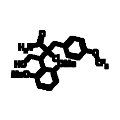 COc1cccc(OC)c1C(CO)C(Cl)(Cc1ccc(OC(F)(F)F)cc1)C(N)=O